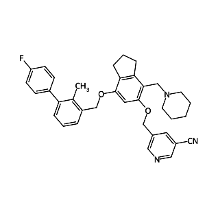 Cc1c(COc2cc(OCc3cncc(C#N)c3)c(CN3CCCCC3)c3c2CCC3)cccc1-c1ccc(F)cc1